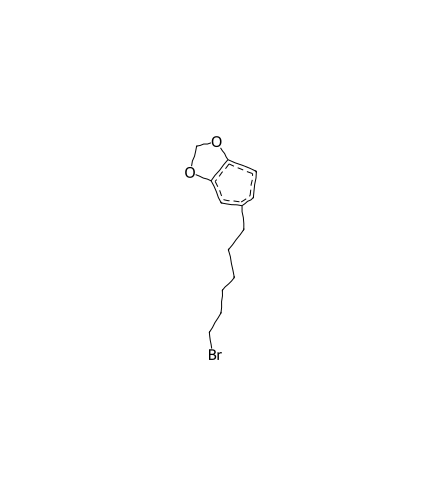 BrCCCCCCc1ccc2c(c1)OCO2